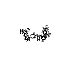 O=C1NC(=O)C(=Cc2ccnc(N3CCC(CNCc4ccccc4-c4ccc(C(F)(F)F)cc4C(F)(F)F)CC3)n2)S1